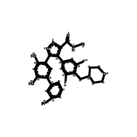 CCNC(=O)c1noc(-c2cc(-c3cccc(C(C)C)c3)c(O)cc2O)c1-c1cc(F)c(CN2CCOCC2)c(F)c1